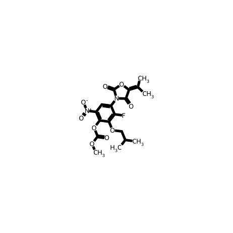 COC(=O)Oc1c([N+](=O)[O-])cc(N2C(=O)OC(=C(C)C)C2=O)c(F)c1OCC(C)C